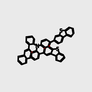 c1ccc(N(c2ccc(-c3ccc4c(c3)sc3ccccc34)cc2)c2ccccc2-c2ccc3sc4ccccc4c3c2)c(-c2ccc3ccccc3c2)c1